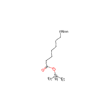 CCCCCCCCCCCCCCCC(=O)O[SiH](CC)CC